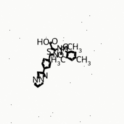 COP(=O)(Nc1nc(-c2ccc(-c3cc4ncccn4n3)cc2)sc1C(=O)O)c1ccc(C)cc1C